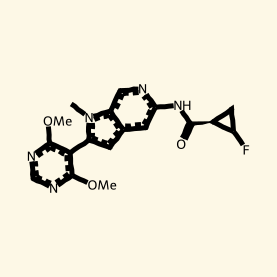 COc1ncnc(OC)c1-c1cc2cc(NC(=O)[C@H]3CC3F)ncc2n1C